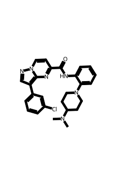 CN(C)C1CCN(c2ccccc2NC(=O)c2ccn3ncc(-c4cccc(Cl)c4)c3n2)CC1